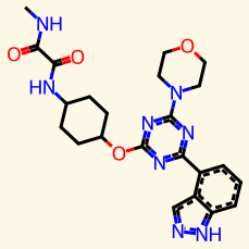 CNC(=O)C(=O)NC1CCC(Oc2nc(-c3cccc4[nH]ncc34)nc(N3CCOCC3)n2)CC1